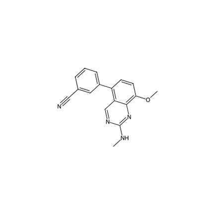 CNc1ncc2c(-c3cccc(C#N)c3)ccc(OC)c2n1